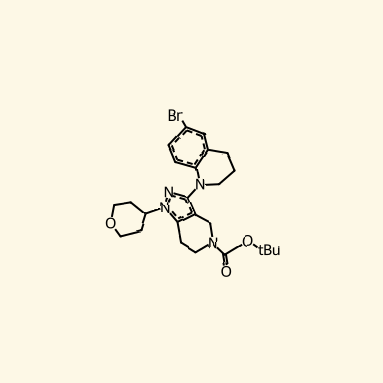 CC(C)(C)OC(=O)N1CCc2c(c(N3CCCc4cc(Br)ccc43)nn2C2CCOCC2)C1